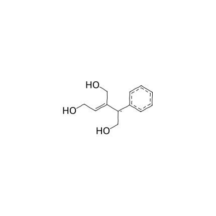 OCC=C(CO)[C](CO)c1ccccc1